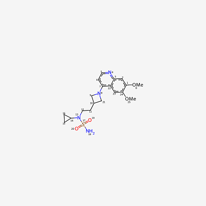 COc1cc2nccc(N3CC(CCN(C4CC4)S(N)(=O)=O)C3)c2cc1OC